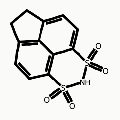 O=S1(=O)NS(=O)(=O)c2ccc3c4c(ccc1c24)CC3